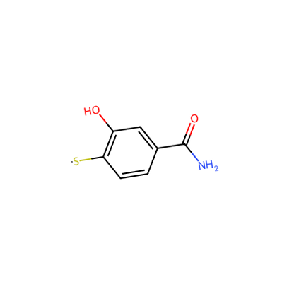 NC(=O)c1ccc([S])c(O)c1